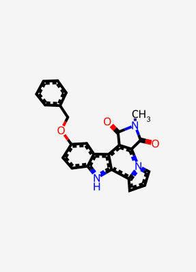 CN1C(=O)c2c(n3cccc3c3[nH]c4ccc(OCc5ccccc5)cc4c23)C1=O